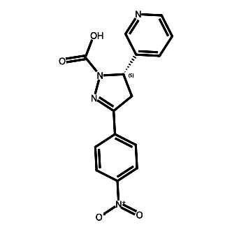 O=C(O)N1N=C(c2ccc([N+](=O)[O-])cc2)C[C@H]1c1cccnc1